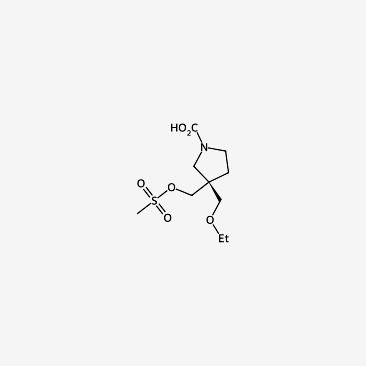 CCOC[C@]1(COS(C)(=O)=O)CCN(C(=O)O)C1